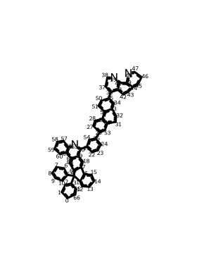 c1ccc(C2(c3ccccc3)c3ccccc3-c3cc4c(-c5cccc(-c6ccc7c(ccc8cc(-c9ccnc%10c9ccc9cccnc9%10)ccc87)c6)c5)nc5ccccc5c4cc32)cc1